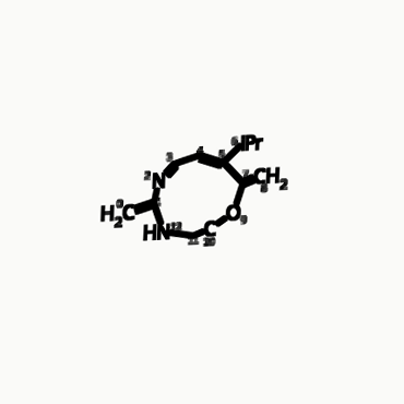 C=C1/N=C\C=C(\C(C)C)C(=C)OCCN1